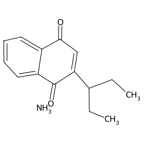 CCC(CC)C1=CC(=O)c2ccccc2C1=O.N